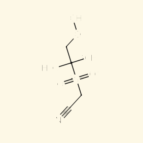 COCC(C)(C)S(=O)(=O)CC#N